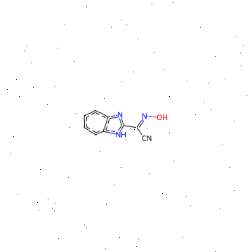 N#CC(=NO)c1nc2ccccc2[nH]1